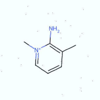 Cc1ccc[n+](C)c1N